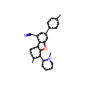 Cc1ccc(-c2cc(C#N)c3c(c2)oc2c(-c4cccc[n+]4C)c(C)ccc23)cc1